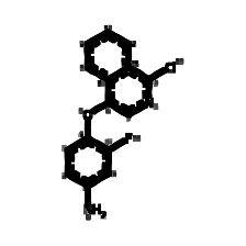 Nc1ccc(Oc2cnc(Cl)c3ccccc23)c(F)c1